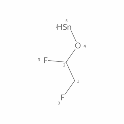 FCC(F)[O][SnH]